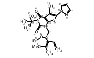 C=C/C(=C(\C)OC)[C@H](Cn1c(=O)n(C(C)(C)C(=O)O)c(=O)c2c(C)c(-n3cccn3)sc21)OC(C)C